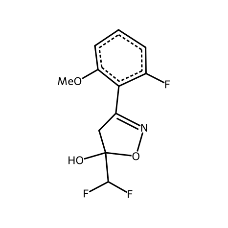 COc1cccc(F)c1C1=NOC(O)(C(F)F)C1